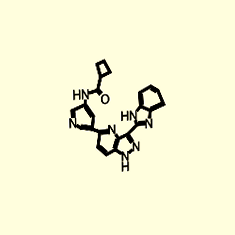 O=C(Nc1cncc(-c2ccc3[nH]nc(-c4nc5ccccc5[nH]4)c3n2)c1)C1CCC1